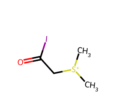 C[S+](C)CC(=O)I